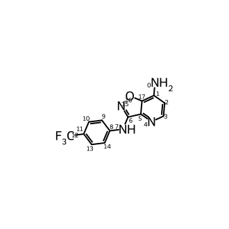 Nc1ccnc2c(Nc3ccc(C(F)(F)F)cc3)noc12